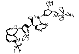 Cc1sc(C(=O)c2cncnc2N[C@H]2C[C@H](O)[C@@H]([CH]NS(=O)(=O)O)C2)cc1[C@@H]1OCCc2ccc(C(F)(F)F)nc21